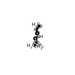 CC(=O)OCC(=O)c1ccc(N[C@@H]2CCCN(C(=O)OC(C)(C)C)C2)cc1